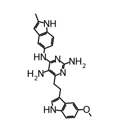 COc1ccc2[nH]cc(CCc3nc(N)nc(Nc4ccc5[nH]c(C)cc5c4)c3N)c2c1